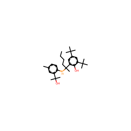 CCCCC(C)(Pc1ccc(C)cc1C(C)(C)O)c1cc(C(C)(C)C)cc(C(C)(C)C)c1O